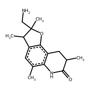 Cc1cc2c(c3c1NC(=O)C(C)C3)OC(C)(CN)C2C